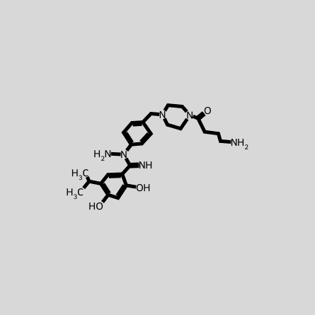 CC(C)c1cc(C(=N)N(N)c2ccc(CN3CCN(C(=O)CCCN)CC3)cc2)c(O)cc1O